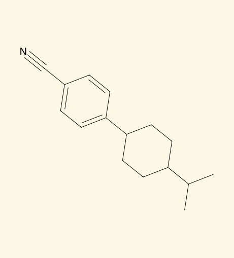 CC(C)C1CCC(c2ccc(C#N)cc2)CC1